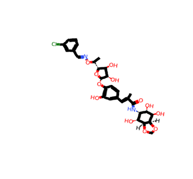 CC(=Cc1ccc(O[C@@H]2O[C@H](C(C)ON=Cc3cccc(Cl)c3)[C@@H](O)[C@@H]2O)c(O)c1)C(=O)N[C@@H]1[C@H](O)[C@@H](O)[C@H]2OCO[C@H]2[C@@H]1O